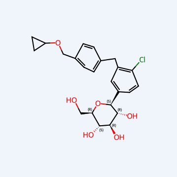 OC[C@H]1O[C@@H](c2ccc(Cl)c(Cc3ccc(COC4CC4)cc3)c2)[C@H](O)[C@@H](O)[C@@H]1O